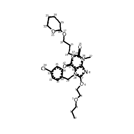 CCCOCCOc1nc2c(c(=O)n(CCCOC3CCCCO3)c(=O)n2C)n1Cc1ccc(Cl)cc1